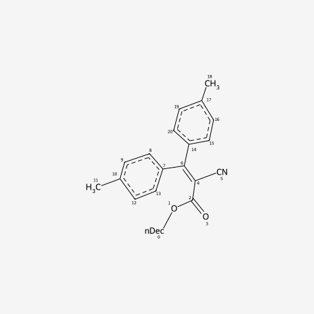 CCCCCCCCCCOC(=O)C(C#N)=C(c1ccc(C)cc1)c1ccc(C)cc1